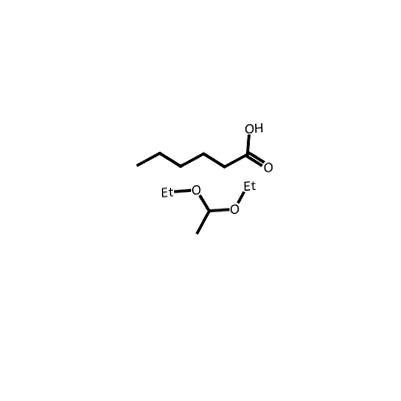 CCCCCC(=O)O.CCOC(C)OCC